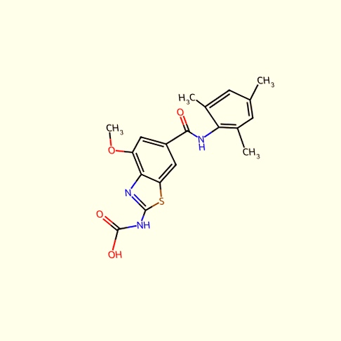 COc1cc(C(=O)Nc2c(C)cc(C)cc2C)cc2sc(NC(=O)O)nc12